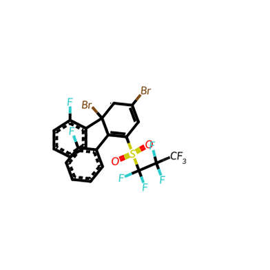 O=S(=O)(C1=C(c2ccccc2F)C(Br)(c2ccccc2F)[CH]C(Br)=C1)C(F)(F)C(F)(F)C(F)(F)F